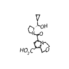 O=C(O)c1cc(C(=O)N2CCC[C@@H]2C(O)C2CC2)n2c1COCC2